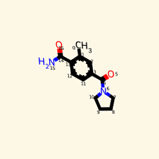 Cc1cc(C(=O)N2CCCC2)ccc1C(N)=O